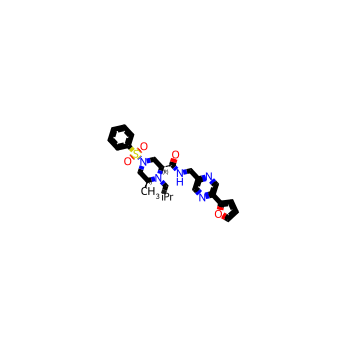 CC(C)CN1[C@H](C)CN(S(=O)(=O)c2ccccc2)C[C@@H]1C(=O)NCc1cnc(-c2ccco2)cn1